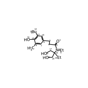 CCN(C(=O)CCc1cc(C)c(O)c(C(C)(C)C)c1)C(CC)(CO)CO